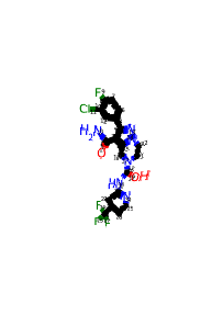 NC(=O)c1c(-c2ccc(F)c(Cl)c2)nn2c1CN(C(O)Nc1cc(C(F)(F)F)ccn1)CC2